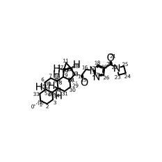 C[C@H]1CC[C@H]2[C@H](CC[C@H]3C4[C@@H]5C[C@@H]5[C@H](C(=O)Cn5cc(C(=O)N6CCC6)cn5)[C@@]4(C)CC[C@H]23)C1